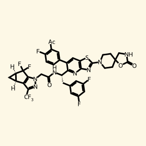 CC(=O)c1cc(-c2cc3sc(N4CCC5(CC4)CNC(=O)O5)nc3nc2[C@H](Cc2cc(F)cc(F)c2)NC(=O)Cn2nc(C(F)(F)F)c3c2C(F)(F)[C@@H]2C[C@H]32)ccc1F